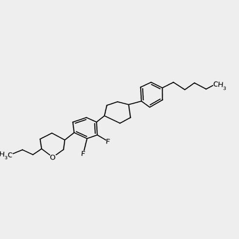 CCCCCc1ccc(C2CCC(c3ccc(C4CCC(CCC)OC4)c(F)c3F)CC2)cc1